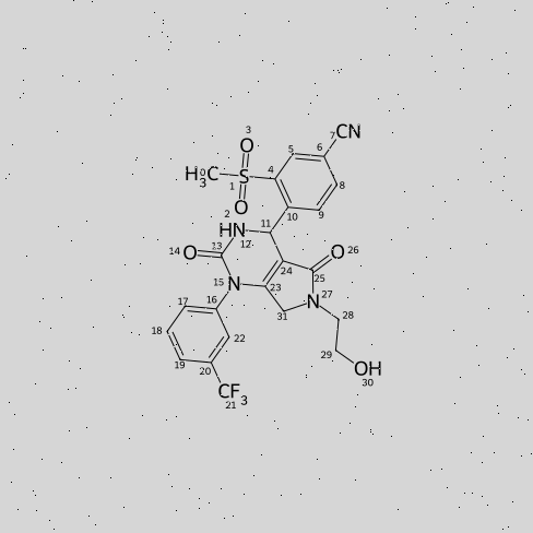 CS(=O)(=O)c1cc(C#N)ccc1C1NC(=O)N(c2cccc(C(F)(F)F)c2)C2=C1C(=O)N(CCO)C2